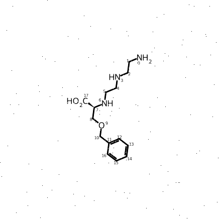 NCCNCCN[C@@H](COCc1ccccc1)C(=O)O